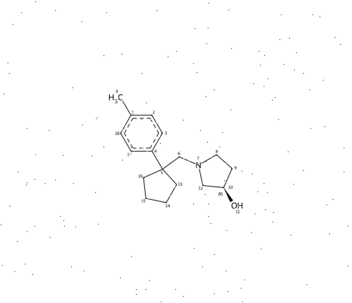 Cc1ccc(C2(CN3CC[C@@H](O)C3)CCCC2)cc1